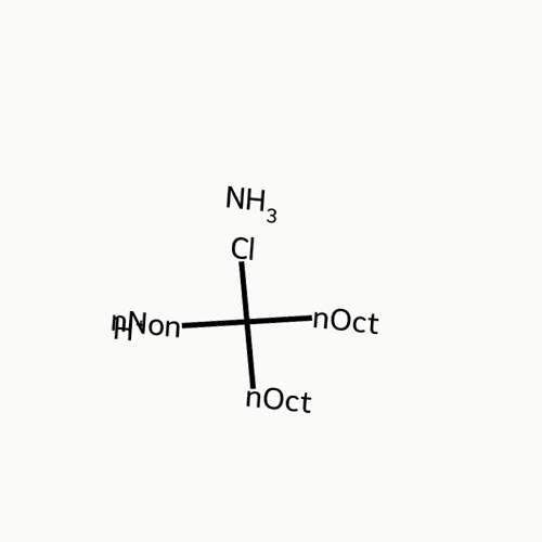 CCCCCCCCCC(Cl)(CCCCCCCC)CCCCCCCC.N.[H+]